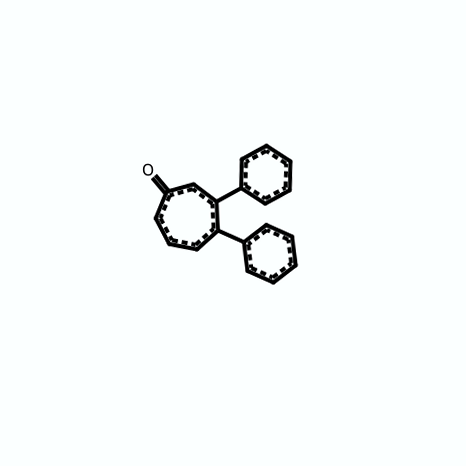 O=c1cccc(-c2ccccc2)c(-c2ccccc2)c1